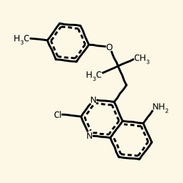 Cc1ccc(OC(C)(C)Cc2nc(Cl)nc3cccc(N)c23)cc1